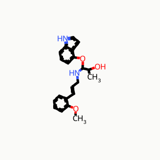 COc1ccccc1C=CCNC(Oc1cccc2[nH]ccc12)C(C)O